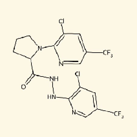 O=C(NNc1ncc(C(F)(F)F)cc1Cl)C1CCCN1c1ncc(C(F)(F)F)cc1Cl